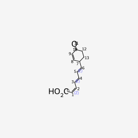 O=C(O)\C=C/C=C/C=C/C1C=CC(=O)CC1